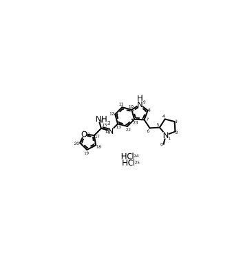 CN1CCCC1Cc1c[nH]c2ccc(N=C(N)c3ccco3)cc12.Cl.Cl